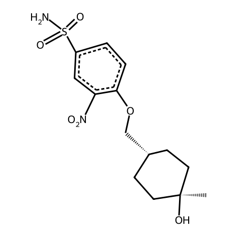 C[C@]1(O)CC[C@H](COc2ccc(S(N)(=O)=O)cc2[N+](=O)[O-])CC1